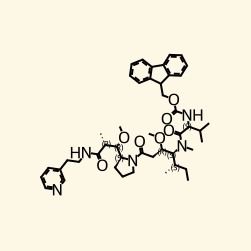 CC[C@H](C)[C@@H]([C@@H](CC(=O)N1CCC[C@H]1[C@H](OC)[C@@H](C)C(=O)NCCc1cccnc1)OC)N(C)C(=O)[C@@H](NC(=O)OCC1c2ccccc2-c2ccccc21)C(C)C